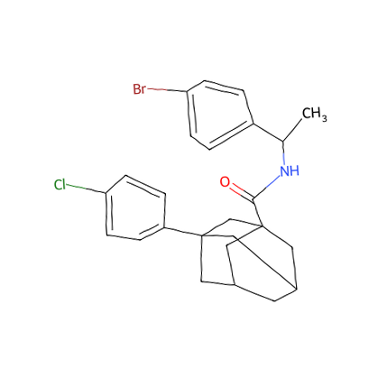 CC(NC(=O)C12CC3CC(C1)CC(c1ccc(Cl)cc1)(C3)C2)c1ccc(Br)cc1